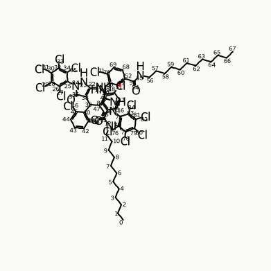 CCCCCCCCCCCCNC(=O)c1ccc(Cl)c(Nc2[nH]n(-c3c(Cl)c(Cl)c(Cl)c(Cl)c3Cl)c(=O)c2C(c2ccccc2Cl)c2c(Nc3cc(C(=O)NCCCCCCCCCCCC)ccc3Cl)[nH]n(-c3c(Cl)c(Cl)c(Cl)c(Cl)c3Cl)c2=O)c1